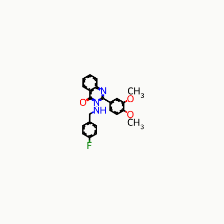 COc1ccc(-c2nc3ccccc3c(=O)n2NCc2ccc(F)cc2)cc1OC